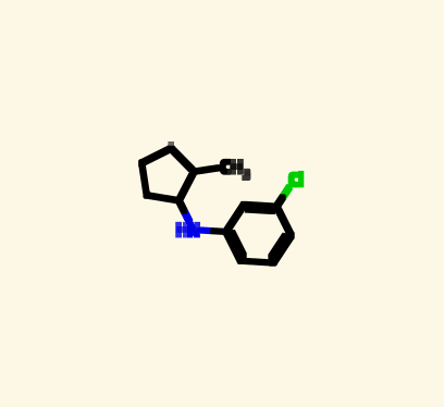 CC1[CH]CCC1Nc1cccc(Cl)c1